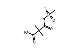 CC(C)(C(=O)O)C(=O)NS(C)(=O)=O